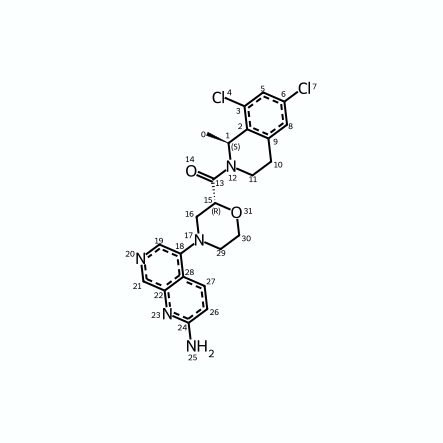 C[C@H]1c2c(Cl)cc(Cl)cc2CCN1C(=O)[C@H]1CN(c2cncc3nc(N)ccc23)CCO1